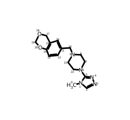 Cn1cnnc1N1CCN(Cc2ccc3c(c2)COCO3)CC1